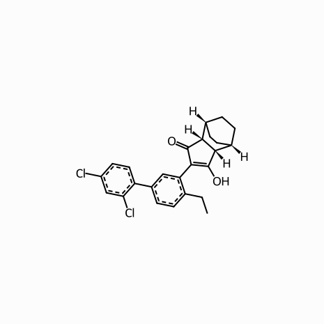 CCc1ccc(-c2ccc(Cl)cc2Cl)cc1C1=C(O)[C@H]2[C@H]3CC[C@H](CC3)[C@H]2C1=O